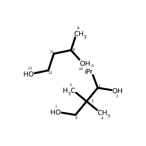 CC(C)C(O)C(C)(C)CO.CC(O)CCO